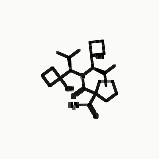 CC(C)[C@@H](N(C(=O)C1(C(N)=O)CCCC1)[C@H](C(C)C)C1(O)CCC1)C1(O)CCC1